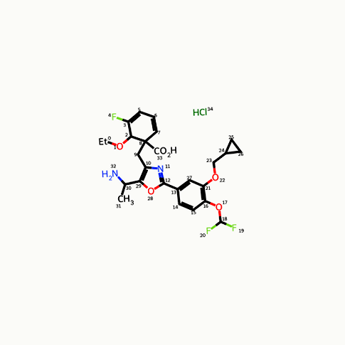 CCOC1C(F)=CC=CC1(Cc1nc(-c2ccc(OC(F)F)c(OCC3CC3)c2)oc1C(C)N)C(=O)O.Cl